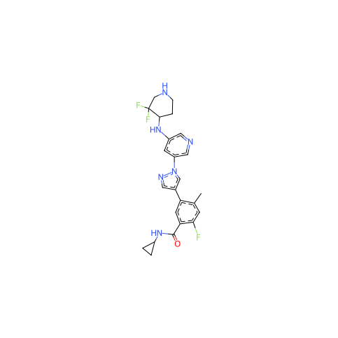 Cc1cc(F)c(C(=O)NC2CC2)cc1-c1cnn(-c2cncc(NC3CCNCC3(F)F)c2)c1